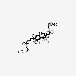 CCCCCCCCCCCCOC(=O)CCCC(C)(C)C1=CC(=O)C(C(C)(C)CCCC(=O)OCCCCCCCCCCCC)=CC1=O